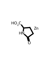 O=C1CCC(C(=O)O)N1.[Zn]